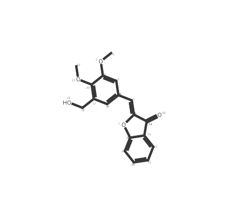 COc1cc(/C=C2\Oc3ccccc3C2=O)cc(CO)c1OC